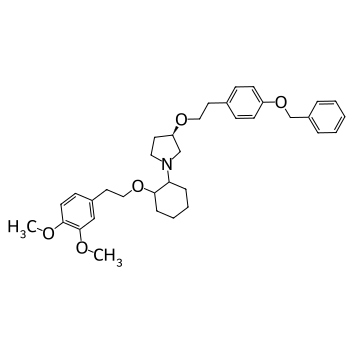 COc1ccc(CCOC2CCCCC2N2CC[C@@H](OCCc3ccc(OCc4ccccc4)cc3)C2)cc1OC